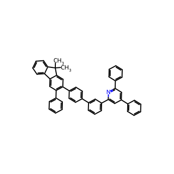 CC1(C)c2ccccc2-c2cc(-c3ccccc3)c(-c3ccc(-c4cccc(-c5cc(-c6ccccc6)cc(-c6ccccc6)n5)c4)cc3)cc21